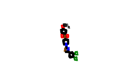 O=S(=O)(c1ccc(OC(F)(F)F)cc1)C1CCN(c2nc(-c3ccc(Cl)c(Cl)c3)cs2)CC1